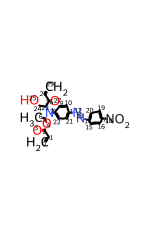 C=CC(=O)OC(C)N(c1ccc(/N=N/c2ccc([N+](=O)[O-])cc2)cc1)C(CO)C(=O)C=C